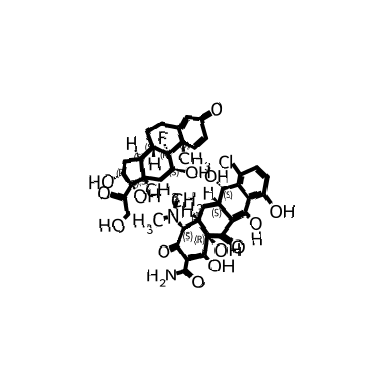 CN(C)[C@@H]1C(=O)C(C(N)=O)=C(O)[C@@]2(O)C(=O)C3=C(O)c4c(O)ccc(Cl)c4[C@@H](O)[C@H]3C[C@@H]12.C[C@]12C=CC(=O)C=C1CC[C@H]1[C@@H]3C[C@@H](O)[C@](O)(C(=O)CO)[C@@]3(C)C[C@H](O)[C@@]12F